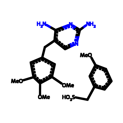 COc1cc(Cc2cnc(N)nc2N)cc(OC)c1OC.COc1cccc(CS(=O)(=O)O)c1